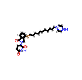 O=C1CCC(N2Cc3c(SCCCCCCCCCCCN4CCNCC4)cccc3C2=O)C(=O)N1